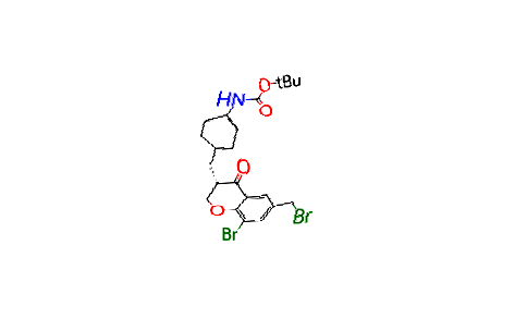 CC(C)(C)OC(=O)NC1CCC(C[C@H]2COc3c(Br)cc(CBr)cc3C2=O)CC1